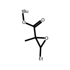 CCC1OC1(C)C(=O)OC(C)(C)C